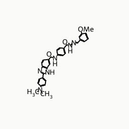 COc1cccc(C=NNC(=O)c2ccc(NC(=O)c3ccc4nc(-c5ccc(N(C)C)cc5)[nH]c4c3)cc2)c1